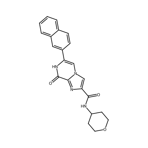 O=C(NC1CCOCC1)c1cn2cc(-c3ccc4ccccc4c3)[nH]c(=O)c2n1